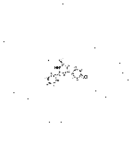 O=c1nc(-c2ccc(Cl)cc2)cc(-c2ccccc2)[nH]1